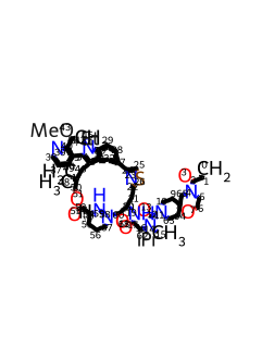 C=CC(=O)N1CCOC2(CCN(C(=O)N(C)C(C(=O)N[C@H]3Cc4nc(cs4)-c4ccc5c(c4)c(c(-c4cccnc4[C@H](C)OC)n5CC)CC(C)(C)COC(=O)[C@@H]4CCCN(N4)C3=O)C(C)C)CC2)C1